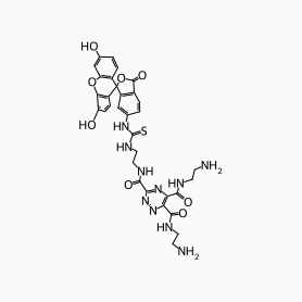 NCCNC(=O)c1nnc(C(=O)NCCNC(=S)Nc2ccc3c(c2)C2(OC3=O)c3ccc(O)cc3Oc3cc(O)ccc32)nc1C(=O)NCCN